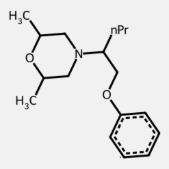 CCCC(COc1c[c]ccc1)N1CC(C)OC(C)C1